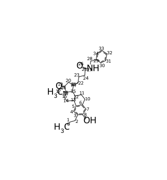 CCCc1cc2c(cc1O)CCC1C2CC[C@]2(C)C(=O)C[C@@H](CCCC(=O)NCc3ccccc3)C12